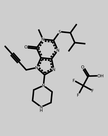 CC#CCn1c(N2CCNCC2)nc2nc(SC(C)C(C)C)n(C)c(=O)c21.O=C(O)C(F)(F)F